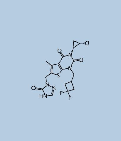 Cc1c(Cn2nc[nH]c2=O)sc2c1c(=O)n([C@H]1C[C@@H]1Cl)c(=O)n2CC1CC(F)(F)C1